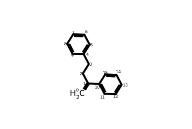 C=C(CCc1ccccc1)c1ccccc1